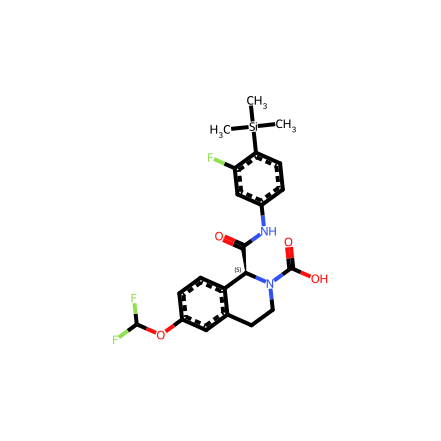 C[Si](C)(C)c1ccc(NC(=O)[C@@H]2c3ccc(OC(F)F)cc3CCN2C(=O)O)cc1F